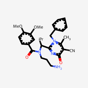 COc1ccc(C(=O)N(CCCN)C(c2nc(=O)c(C#N)c(C)n2Cc2ccccc2)C(C)C)cc1OC